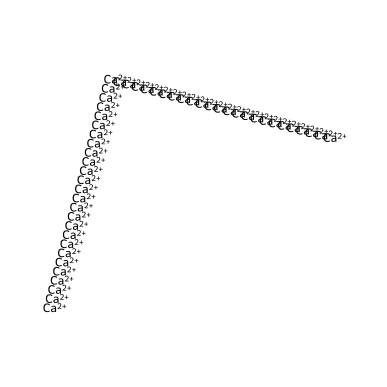 [Ca+2].[Ca+2].[Ca+2].[Ca+2].[Ca+2].[Ca+2].[Ca+2].[Ca+2].[Ca+2].[Ca+2].[Ca+2].[Ca+2].[Ca+2].[Ca+2].[Ca+2].[Ca+2].[Ca+2].[Ca+2].[Ca+2].[Ca+2].[Ca+2].[Ca+2].[Ca+2].[Ca+2].[Ca+2].[Ca+2].[Ca+2].[Ca+2].[Ca+2].[Ca+2].[Ca+2].[Ca+2].[Ca+2].[Ca+2].[Ca+2].[Ca+2].[Ca+2].[Ca+2].[Ca+2].[Ca+2].[Ca+2].[Ca+2].[Ca+2].[Ca+2].[Ca+2].[Ca+2].[Ca+2].[Ca+2].[Ca+2].[Ca+2]